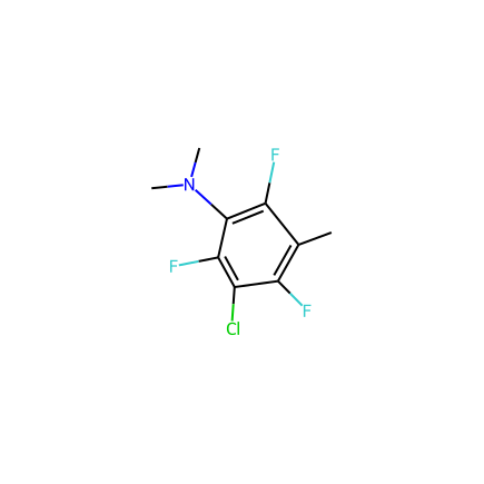 Cc1c(F)c(Cl)c(F)c(N(C)C)c1F